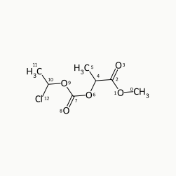 COC(=O)C(C)OC(=O)OC(C)Cl